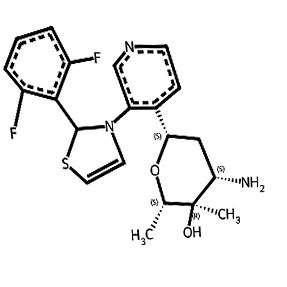 C[C@@H]1O[C@H](c2ccncc2N2C=CSC2c2c(F)cccc2F)C[C@H](N)[C@@]1(C)O